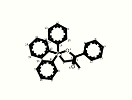 CCCP(OC(=O)c1ccccc1)(c1ccccc1)(c1ccccc1)c1ccccc1